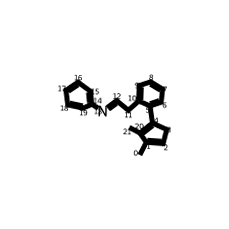 CC1=CCC(c2ccccc2CC=Nc2ccccc2)=C1C